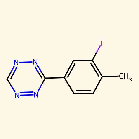 Cc1ccc(-c2nncnn2)cc1I